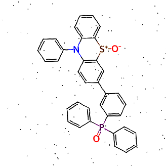 O=P(c1ccccc1)(c1ccccc1)c1cccc(-c2ccc3c(c2)[S+]([O-])c2ccccc2N3c2ccccc2)c1